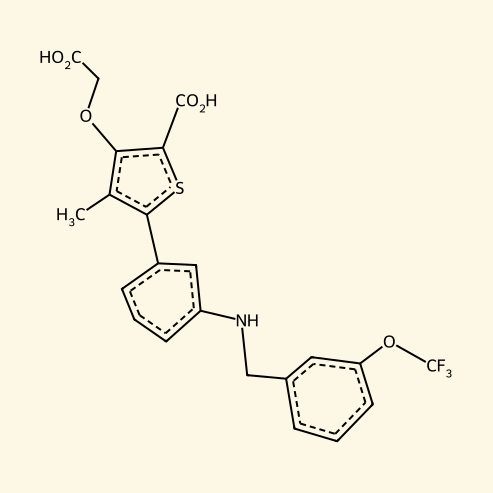 Cc1c(-c2cccc(NCc3cccc(OC(F)(F)F)c3)c2)sc(C(=O)O)c1OCC(=O)O